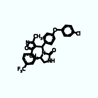 Cc1noc(C)c1C(c1ccc(Oc2ccc(Cl)cc2)cc1)N1C(=O)NCC1c1cccc(C(F)(F)F)c1